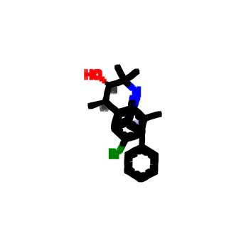 Cc1cc(Br)c2c3c1n(/c2=C/c1ccccc1)C(C)(C)[C@@H](O)[C@@H]3C